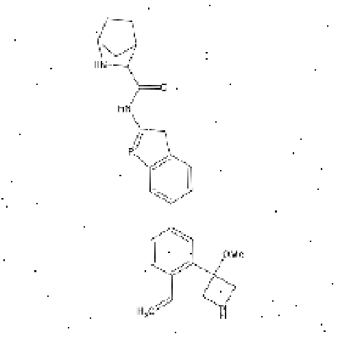 C=Cc1ccc(-c2ccc3c(c2)P=C(NC(=O)C2NC4CCC2C4)C3)cc1C1(OC)CNC1